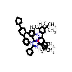 CC1CC(C(C)(C)C)=CC2=C1N(c1ccc(C3CC(C4=CCCC=C4)=CCC3c3ccccc3)cc1-c1nc(C3=CCCC=C3)nc(C3=CC=CCC3)n1)C1CCC(C(C)(C)C)=CC21